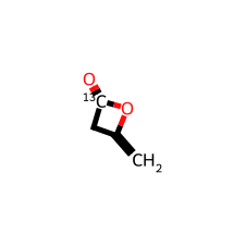 C=C1C[13C](=O)O1